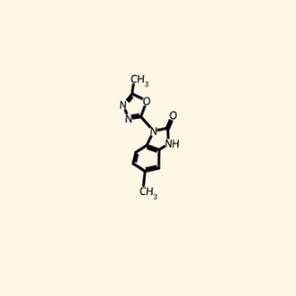 Cc1ccc2c(c1)[nH]c(=O)n2-c1nnc(C)o1